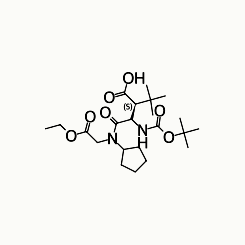 CCOC(=O)CN(C(=O)C(NC(=O)OC(C)(C)C)[C@@H](C(=O)O)C(C)(C)C)C1CCCC1